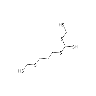 SCSCCCSC(S)SCS